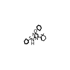 CC1(C)CCCC=C1c1cc(Oc2ccccc2)nc(NSc2ccccc2)n1